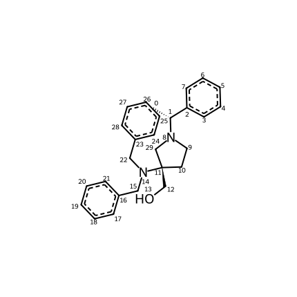 C[C@H](c1ccccc1)N1CC[C@](CO)(N(Cc2ccccc2)Cc2ccccc2)C1